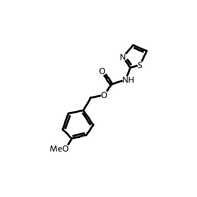 COc1ccc(COC(=O)Nc2nccs2)cc1